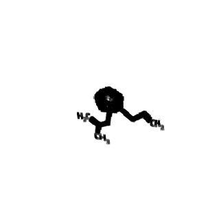 C=CC[C]12[CH]3[CH]4[CH]5[C]1(CC(=C)C)[Fe]43521678[CH]2[CH]1[CH]6[CH]7[CH]28